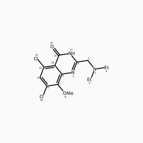 CCN(CC)Cc1nc2c(OC)c(Cl)cc(Cl)c2c(=O)[nH]1